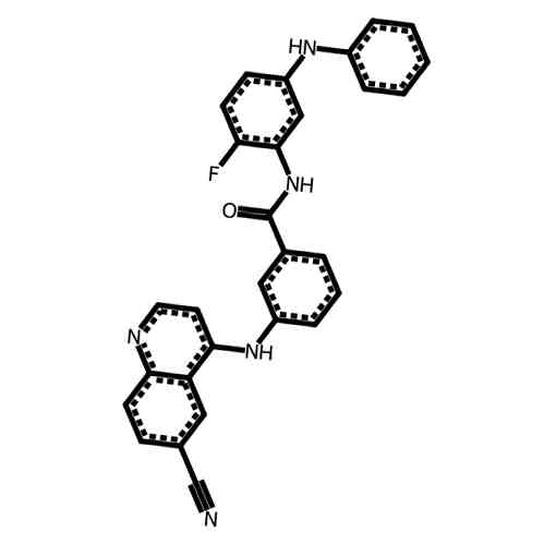 N#Cc1ccc2nccc(Nc3cccc(C(=O)Nc4cc(Nc5ccccc5)ccc4F)c3)c2c1